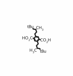 CC(CCc1cc(C(=O)O)c(CCC(C)CC(C)(C)C)cc1C(=O)O)CC(C)(C)C